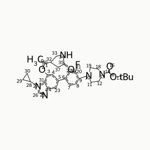 C[C@@H](Oc1cc(-c2ccc(N3CCN(C(=O)OC(C)(C)C)CC3)c(F)c2)cc2ncn(C3CC3)c12)C1CNC(=O)C1